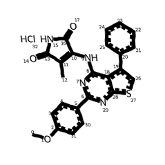 COc1ccc(-c2nc(NC3=C(C)C(=O)NC3=O)c3c(-c4ccccc4)csc3n2)cc1.Cl